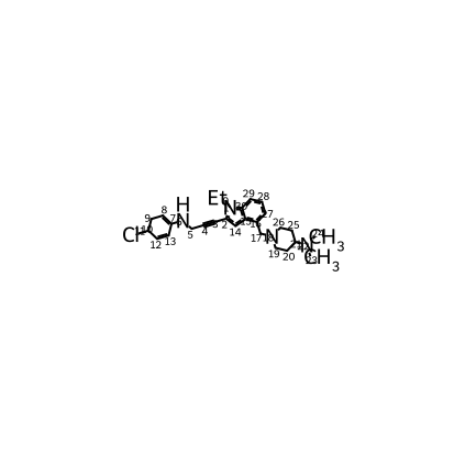 CCn1c(C#CCNC2=CCC(Cl)C=C2)cc2c(CN3CCC(N(C)C)CC3)cccc21